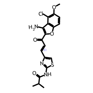 COc1ccc2oc(C(=O)/C=C/c3csc(NC(=O)C(C)C)n3)c(N)c2c1Cl